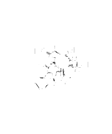 CC(=O)O[C@@]12COC1C[C@H](O)[C@@]13O[C@@H]1[C@H](O)C1=C(C)[C@@H](O)C[C@@](O)([C@@H](OC(=O)c4ccccc4)[C@@H]32)C1(C)C